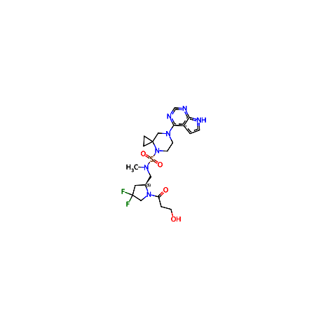 CN(C[C@@H]1CC(F)(F)CN1C(=O)CCO)S(=O)(=O)N1CCN(c2ncnc3[nH]ccc23)CC12CC2